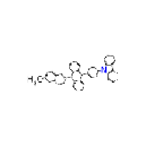 CC1=CC=C2C=C(c3c4c(c(C5=CC=C(n6c7c(c8ccccc86)CCC=C7)CC5)c5ccccc35)=CCCC=4)C=CC2C1